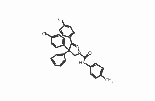 O=C(Nc1ccc(C(F)(F)F)cc1)N1CC(c2ccccc2)(c2ccc(Cl)cc2)C(c2ccc(Cl)cc2)=N1